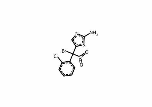 Nc1ncc(C(Br)(c2ccccc2Cl)[SH](=O)=O)s1